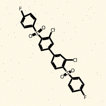 O=S(=O)(c1ccc(F)cc1)c1ccc(-c2ccc(S(=O)(=O)c3ccc(F)cc3)c(Cl)c2)cc1Cl